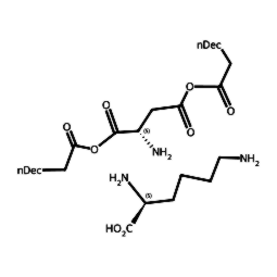 CCCCCCCCCCCC(=O)OC(=O)C[C@H](N)C(=O)OC(=O)CCCCCCCCCCC.NCCCC[C@H](N)C(=O)O